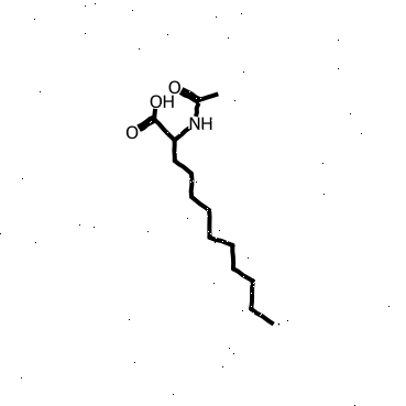 [CH2]CCCCCCCCCC(NC(C)=O)C(=O)O